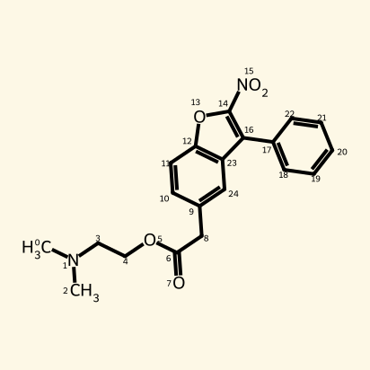 CN(C)CCOC(=O)Cc1ccc2oc([N+](=O)[O-])c(-c3ccccc3)c2c1